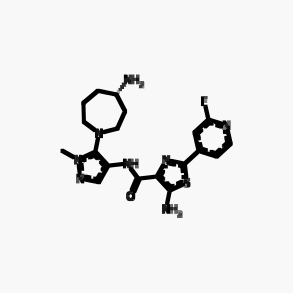 Cn1ncc(NC(=O)c2nc(-c3ccnc(F)c3)sc2N)c1N1CCC[C@H](N)CC1